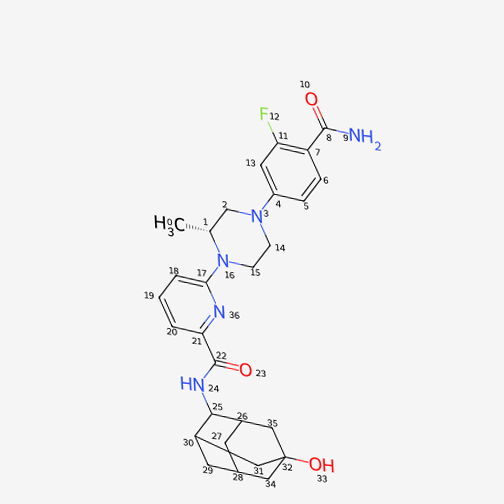 C[C@@H]1CN(c2ccc(C(N)=O)c(F)c2)CCN1c1cccc(C(=O)NC2C3CC4CC2CC(O)(C4)C3)n1